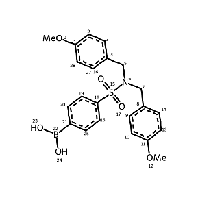 COc1ccc(CN(Cc2ccc(OC)cc2)S(=O)(=O)c2ccc(B(O)O)cc2)cc1